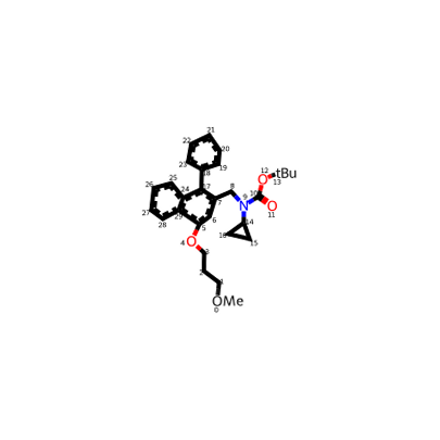 COCCCOc1cc(CN(C(=O)OC(C)(C)C)C2CC2)c(-c2ccccc2)c2ccccc12